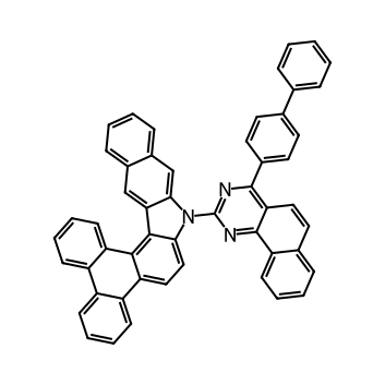 c1ccc(-c2ccc(-c3nc(-n4c5cc6ccccc6cc5c5c6c7ccccc7c7ccccc7c6ccc54)nc4c3ccc3ccccc34)cc2)cc1